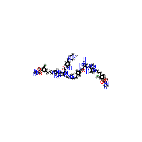 CN1CCN(Cc2ccc(NC(=O)c3nn(CN4CCN(Cc5ccc(NC(=O)c6n[nH]cc6Nc6ncnc7c6ccn7CCCc6ccc(S(=O)(=O)n7cncn7)cc6F)cc5)CC4)cc3Nc3ncnc4c3ccn4CCCc3cc(F)cc(S(=O)(=O)n4cncn4)c3)cc2)CC1